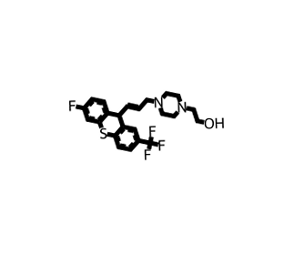 OCCN1CCN(CC=CC2c3ccc(F)cc3Sc3ccc(C(F)(F)F)cc32)CC1